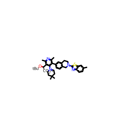 Cc1ccc2nc(N3CCc4cc(-c5c(C)nc(C)c([C@H](OC(C)(C)C)C(=O)O)c5N5CCC(C)(C)CC5)ccc4C3)sc2c1